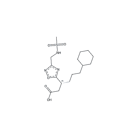 CS(=O)(=O)NCc1noc([C@H](CCCC2CCCCC2)CC(=O)O)n1